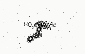 CC(=O)N[C@]1(C(=O)NO)CCN(C(=O)O)C1C1CCC(C(=O)N2CCN(c3ccccc3)CC2)CC1